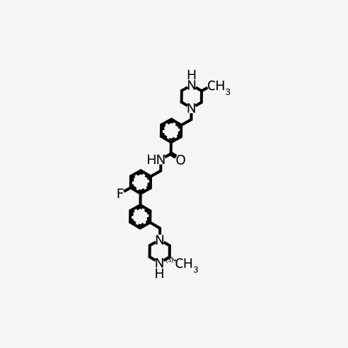 CC1CN(Cc2cccc(C(=O)NCc3ccc(F)c(-c4cccc(CN5CCN[C@@H](C)C5)c4)c3)c2)CCN1